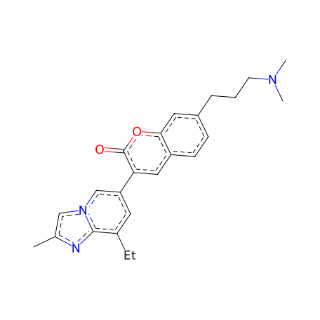 CCc1cc(-c2cc3ccc(CCCN(C)C)cc3oc2=O)cn2cc(C)nc12